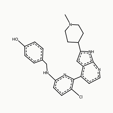 CN1CCC(c2cc3c(-c4nc(NCc5ccc(O)cc5)ccc4Cl)ccnc3[nH]2)CC1